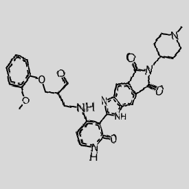 COc1ccccc1OCC(C=O)CNc1cc[nH]c(=O)c1-c1nc2cc3c(cc2[nH]1)C(=O)N(C1CCN(C)CC1)C3=O